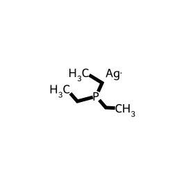 CCP(CC)CC.[Ag]